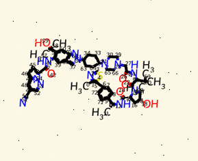 Cc1ncsc1-c1ccc([C@H](C)NC(=O)[C@@H]2C[C@@H](O)CN2C(=O)[C@@H](NC(=O)CN2CCN(C3CCC(n4cc5cc(NC(=O)c6ccc7cc(C#N)cnn67)c(C(C)(C)O)cc5n4)CC3)CC2)C(C)(C)C)cc1